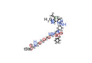 Cn1ncc(-c2nc(N[C@H]3CC[C@H](N(CC(=O)NCCOCCOCCOCCNCC(=O)OC(C)(C)C)C(=O)OCc4ccccc4)CC3)ncc2Cl)c1CC1CC1